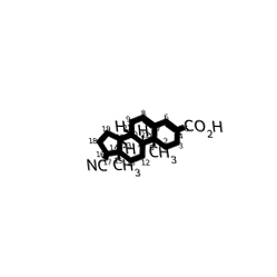 C[C@]12CCC(C(=O)O)=CC1=CC[C@@H]1[C@@H]2CC[C@]2(C)C(C#N)CC[C@@H]12